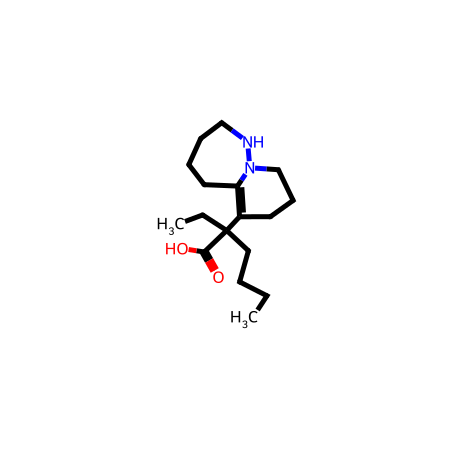 CCCCC(CC)(C(=O)O)C1=C2CCCCNN2CCC1